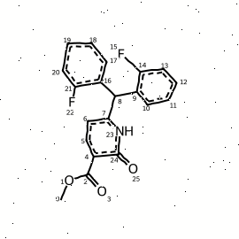 COC(=O)c1ccc(C(c2ccccc2F)c2ccccc2F)[nH]c1=O